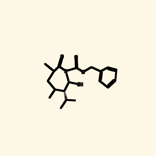 CC1CC(C)[C@@H](C(C)C)C(O)N(C(=O)OCc2ccccc2)C1=O